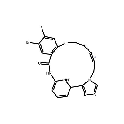 O=C1NC2=CC=CC(N2)c2nncn2C/C=C\CCOc2cc(F)c(Br)cc21